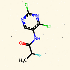 CC(F)C(=O)Nc1cnc(Cl)nc1Cl